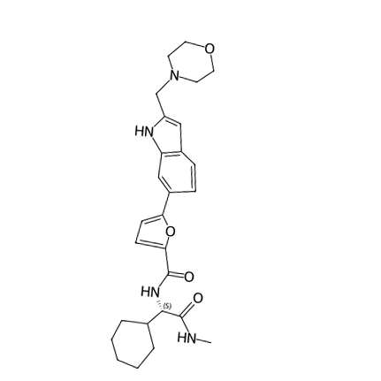 CNC(=O)[C@@H](NC(=O)c1ccc(-c2ccc3cc(CN4CCOCC4)[nH]c3c2)o1)C1CCCCC1